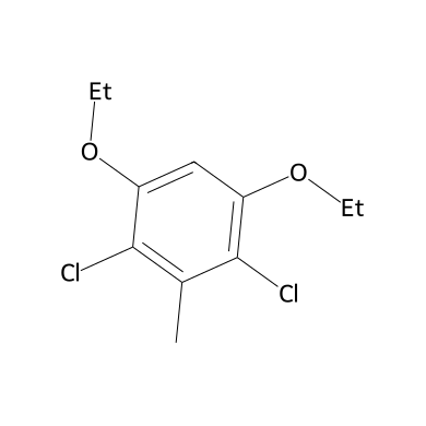 CCOc1cc(OCC)c(Cl)c(C)c1Cl